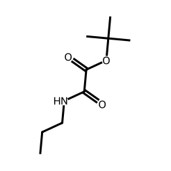 CCCNC(=O)C(=O)OC(C)(C)C